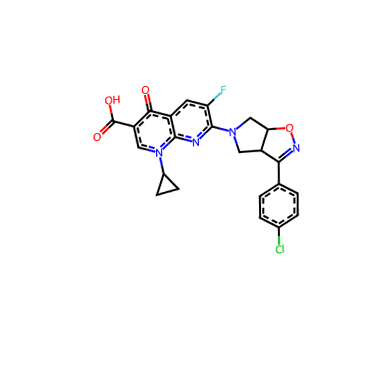 O=C(O)c1cn(C2CC2)c2nc(N3CC4ON=C(c5ccc(Cl)cc5)C4C3)c(F)cc2c1=O